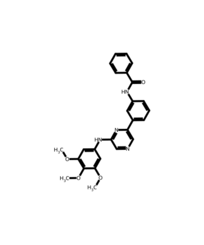 COc1cc(Nc2cncc(-c3cccc(NC(=O)c4ccccc4)c3)n2)cc(OC)c1OC